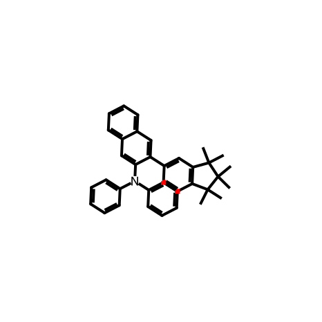 CC1(C)c2ccc(-c3cc4ccccc4cc3N(c3ccccc3)c3ccccc3)cc2C(C)(C)C1(C)C